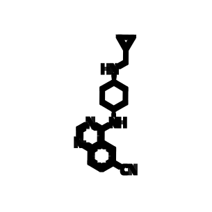 N#Cc1ccc2ncnc(N[C@H]3CC[C@H](NCC4CC4)CC3)c2c1